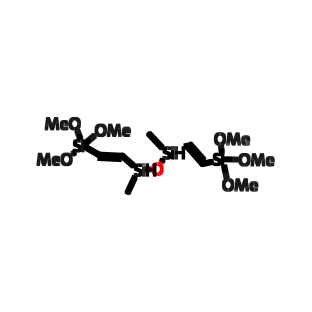 CO[Si](/C=C/[SiH](C)O[SiH](C)/C=C/[Si](OC)(OC)OC)(OC)OC